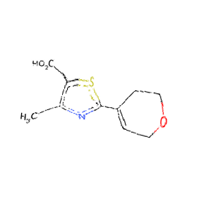 Cc1nc(C2=CCOCC2)sc1C(=O)O